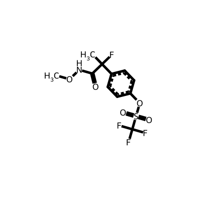 CONC(=O)C(C)(F)c1ccc(OS(=O)(=O)C(F)(F)F)cc1